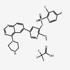 COc1ncc(-c2ccc3ncnc(N4CCNCC4)c3c2)cc1SS(=O)(=O)c1ccc(F)cc1F.O=C(O)C(F)(F)F